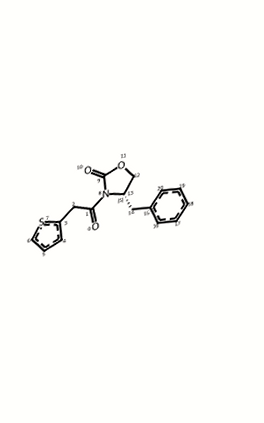 O=C(Cc1cccs1)N1C(=O)OC[C@@H]1Cc1ccccc1